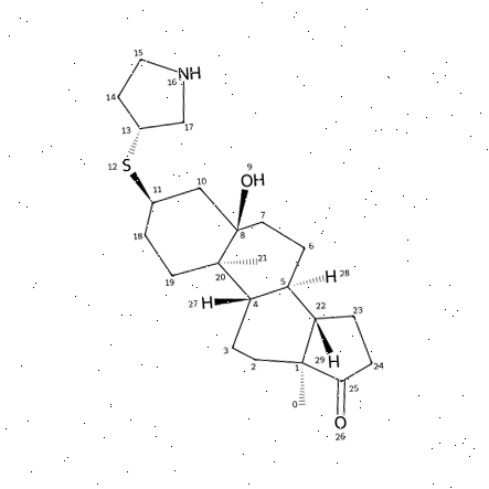 C[C@]12CC[C@H]3[C@@H](CC[C@@]4(O)C[C@H](S[C@@H]5CCNC5)CC[C@]34C)[C@@H]1CCC2=O